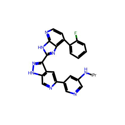 CC(C)Nc1cncc(-c2cc3c(-c4nc5c(-c6ccccc6F)ccnc5[nH]4)n[nH]c3cn2)c1